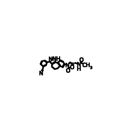 CC(=O)NC[C@H]1CN(c2ccc3c(c2)CCCc2c(-c4cccc(C#N)c4)n[nH]c2-3)C(=O)O1